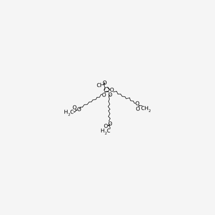 C=CC(=O)OCCCCCCCCCCCOc1cc(C(=O)Cl)cc(OCCCCCCCCCCCOC(=O)C=C)c1OCCCCCCCCCCCOC(=O)C=C